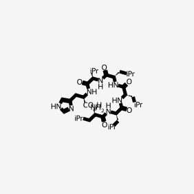 CC(C)C[C@H](NC(=O)[C@H](CC(C)C)NC(=O)[C@@H](N)CC(C)C)C(=O)N[C@@H](CC(C)C)C(=O)N[C@H](C(=O)N[C@@H](Cc1c[nH]cn1)C(=O)O)C(C)C